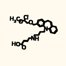 COC(Cl)COCc1ccc2c(c1)N(CCCCNCC=CC(=O)O)C1=CC=CCC1=CC2